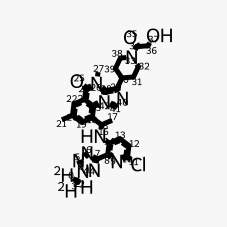 [2H]C([2H])([2H])n1nnc(-c2nc(Cl)ccc2NC(C)c2cc(C)cc3c(=O)n(C)c4c(C5CCN(C(=O)CO)CC5)ncn4c23)n1